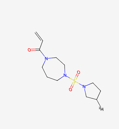 [2H]C1CCN(S(=O)(=O)N2CCCN(C(=O)C=C)CC2)C1